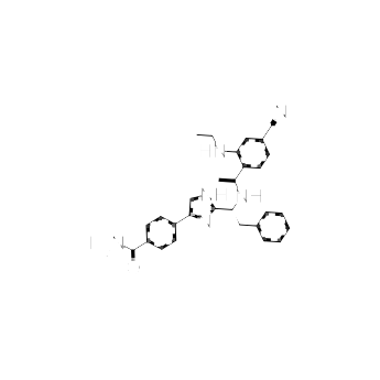 C=C(N[C@@H](Cc1ccccc1)c1nc(-c2ccc(C(N)=O)cc2)c[nH]1)c1ccc(C#N)cc1NCC